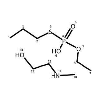 CCCSP(=O)(O)OCC.CNCCO